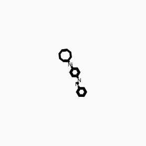 C1=CCC[C]([Ni][c]2ccc(/N=N/c3ccccc3)cc2)=CCC1